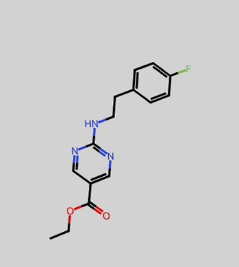 CCOC(=O)c1cnc(NCCc2ccc(F)cc2)nc1